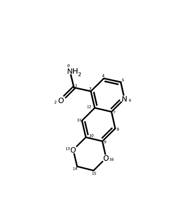 NC(=O)c1ccnc2cc3c(cc12)OCCO3